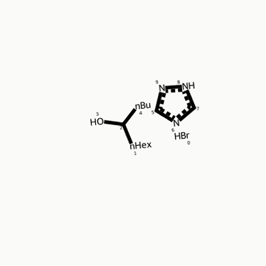 Br.CCCCCCC(O)CCCC.c1nc[nH]n1